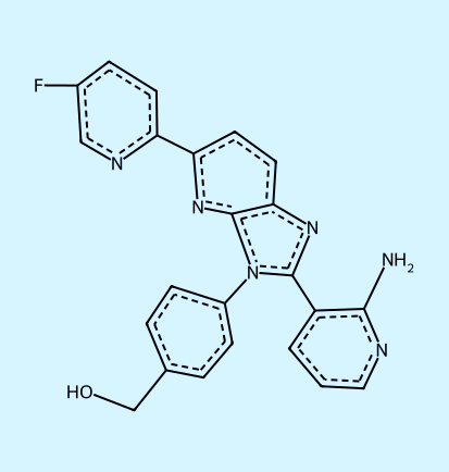 Nc1ncccc1-c1nc2ccc(-c3ccc(F)cn3)nc2n1-c1ccc(CO)cc1